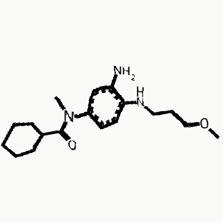 COCCCNc1ccc(N(C)C(=O)C2CCCCC2)cc1N